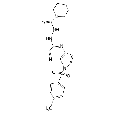 Cc1ccc(S(=O)(=O)n2ccc3nc(NNC(=O)N4CCCCC4)cnc32)cc1